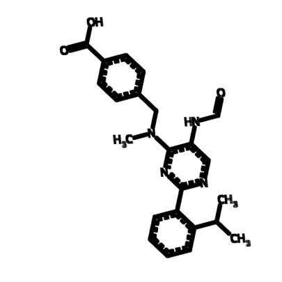 CC(C)c1ccccc1-c1ncc(NC=O)c(N(C)Cc2ccc(C(=O)O)cc2)n1